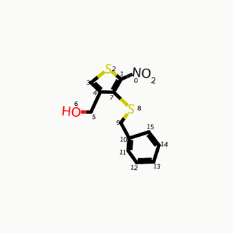 O=[N+]([O-])c1scc(CO)c1SCc1ccccc1